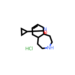 C1=CC2=NC(C3CC3)OC23CCNCCC3C1.Cl